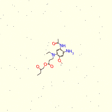 CCC(=O)COC(=O)CCN(CC)c1cc(NC(C)=O)c(N)cc1OC